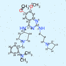 COc1cc2nc(NCCCN3CCCC3)nc(NC3CCN(Cc4ccccc4N(C)C)CC3)c2cc1OC